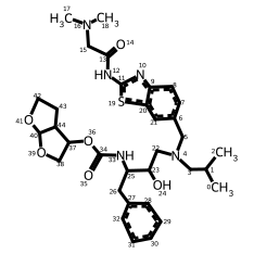 CC(C)CN(Cc1ccc2nc(NC(=O)CN(C)C)sc2c1)CC(O)C(Cc1ccccc1)NC(=O)OC1COC2OCCC12